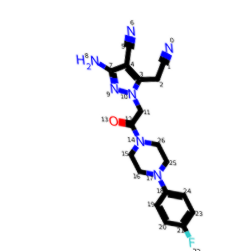 N#CCc1c(C#N)c(N)nn1CC(=O)N1CCN(c2ccc(F)cc2)CC1